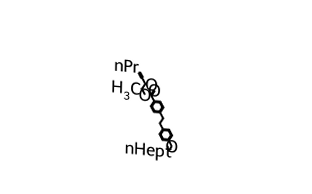 CCCC#CC(=O)C(C)OC(=O)c1ccc(CCc2ccc(OCCCCCCC)cc2)cc1